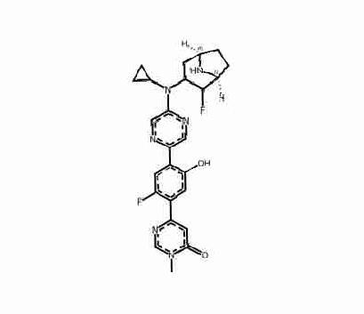 Cn1cnc(-c2cc(O)c(-c3cnc(N(C4CC4)C4C[C@H]5CC[C@H](N5)C4F)cn3)cc2F)cc1=O